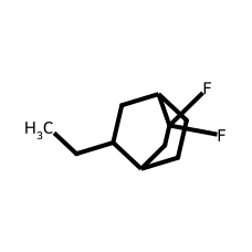 CCC1CC2CCC1CC2(F)F